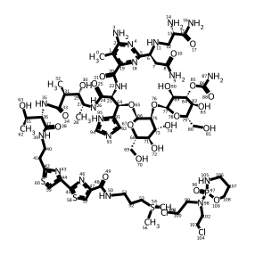 Cc1c(N)nc([C@H](CC(N)=O)NC[C@H](N)C(N)=O)nc1C(=O)N[C@H](C(=O)N[C@H](C)[C@@H](O)[C@H](C)C(=O)N[C@H](C(=O)NCCc1nc(-c2nc(C(=O)NCCC[S+](C)C)cs2)cs1)[C@@H](C)O)[C@@H](O[C@@H]1O[C@@H](CO)[C@H](O)[C@@H](O)[C@@H]1O[C@@H]1O[C@@H](CO)[C@H](O)[C@@H](OC(N)=O)[C@@H]1O)c1cnc[nH]1.O=P1(N(CCCl)CCCl)NCCCO1